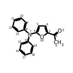 CC(=O)c1ccc(N(c2ccccc2)c2ccccc2)o1